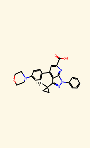 CC1(c2nn(-c3ccccc3)c3nc(C(=O)O)cc(-c4ccc(N5CCOCC5)cc4)c23)CC1